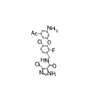 CC(=O)c1cc(N)cc(Oc2c(Cl)ccc(CNC(=O)c3[nH]cnc3Cl)c2F)c1